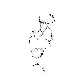 CSc1nc2c(s1)c(/C=N\N(C)Cc1cccc(C(C)=O)c1)c(C=O)n2C